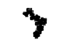 CN(C/C=C/C(=O)N1CC[C@@H](n2c(=O)n(-c3ccc(Oc4ccccc4)cc3)c3cnccc32)C1)C1CC1